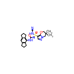 CC1(C)COc2c([S@@](=O)(=NC(=O)Nc3c4c(cc5c3CCC5)CCC4)NC#N)cnn2C1